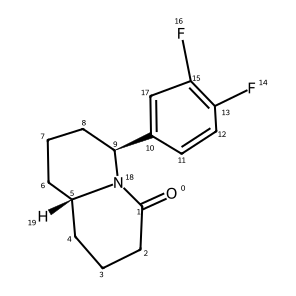 O=C1CCC[C@@H]2CCC[C@@H](c3ccc(F)c(F)c3)N12